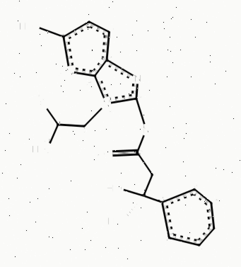 Cc1ccc2nc(NC(=O)C[C@](C)(O)c3ccccc3)n(CC(C)C)c2n1